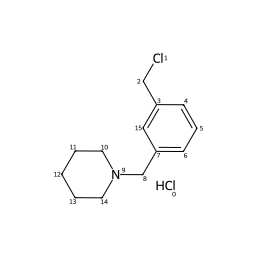 Cl.ClCc1cccc(CN2CCCCC2)c1